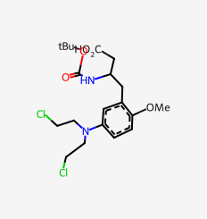 COc1ccc(N(CCCl)CCCl)cc1CC(CC(=O)O)NC(=O)OC(C)(C)C